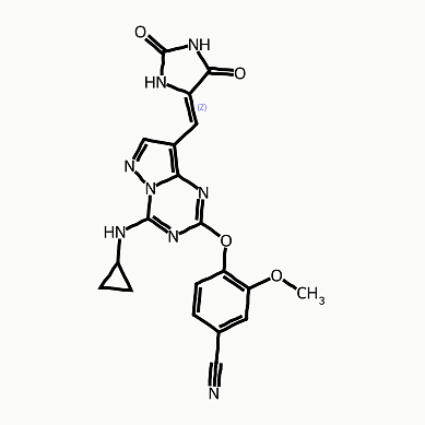 COc1cc(C#N)ccc1Oc1nc(NC2CC2)n2ncc(/C=C3\NC(=O)NC3=O)c2n1